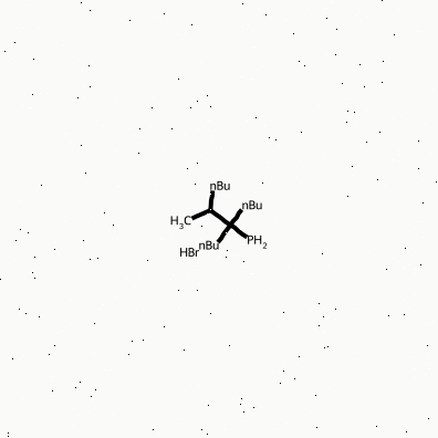 Br.CCCCC(C)C(P)(CCCC)CCCC